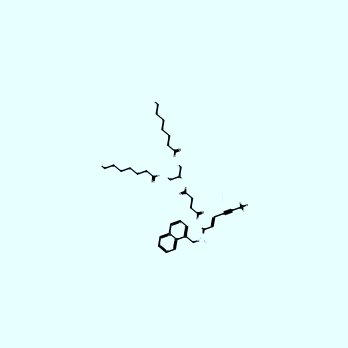 CCCCCCCC(=O)OCC(COC(=O)CCCCCCC)OC(=O)CCC(=O)OC(C=CC#CC(C)(C)C)N(C)Cc1cccc2ccccc12